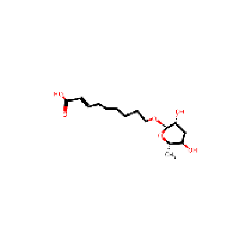 C[C@@H]1O[C@@H](OCCCCCC/C=C/C(=O)O)[C@H](O)C[C@H]1O